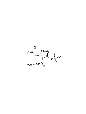 COC(=O)c1c(OS(C)(=O)=O)noc1CC(=O)Cl